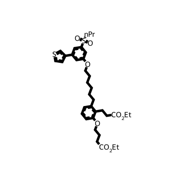 CCCS(=O)(=O)c1cc(OCCCCCCc2cccc(OCCCC(=O)OCC)c2CCC(=O)OCC)cc(-c2ccsc2)c1